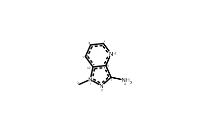 Cn1nc(N)c2ncccc21